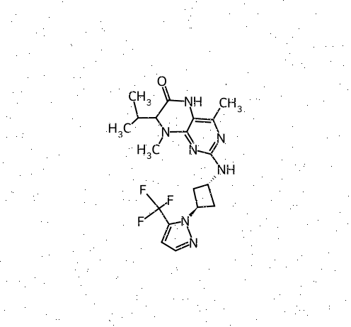 Cc1nc(N[C@H]2C[C@H](n3nccc3C(F)(F)F)C2)nc2c1NC(=O)C(C(C)C)N2C